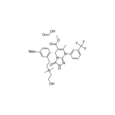 COC(=O)C1=C(C)N(c2cccc(C(F)(F)F)c2)c2n[nH]c(=O)n2[C@@H]1c1ccc(C#N)cc1CC[N+](C)(C)CCO.O=CO